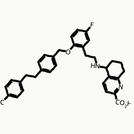 O=C(O)c1ccc2c(n1)CCCC2NCCc1cc(F)ccc1OCc1ccc(CCc2ccc(C(F)(F)F)cc2)cc1